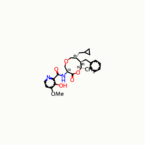 COc1ccnc(C(=O)N[C@H]2COC[C@H](CC3CC3)[C@@H](Cc3ccccc3)[C@H](C)OC2=O)c1O